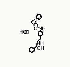 Cl.Cl.O=C(Cc1nccn1-c1ccccc1)Nc1ccc(CCNC[C@H](O)c2ccccc2)cc1